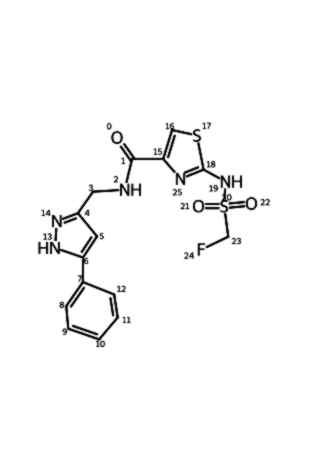 O=C(NCc1cc(-c2ccccc2)[nH]n1)c1csc(NS(=O)(=O)CF)n1